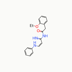 CCOc1ccccc1CC(=O)NC(=N)/C=C\Nc1ccccc1